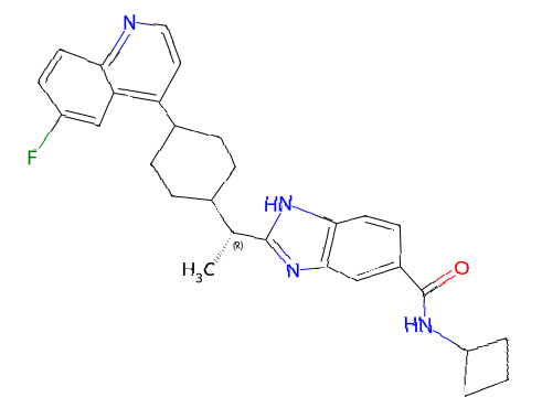 C[C@@H](c1nc2cc(C(=O)NC3CCC3)ccc2[nH]1)C1CCC(c2ccnc3ccc(F)cc23)CC1